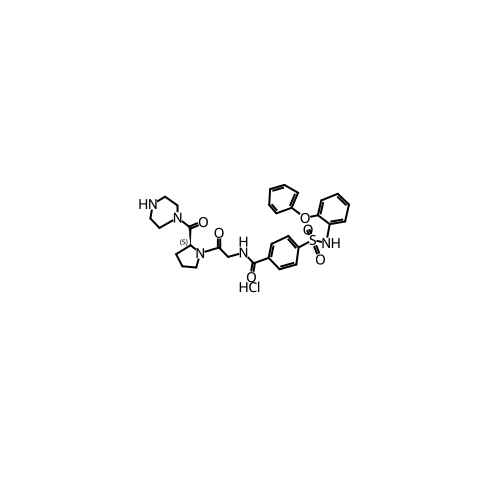 Cl.O=C(NCC(=O)N1CCC[C@H]1C(=O)N1CCNCC1)c1ccc(S(=O)(=O)Nc2ccccc2Oc2ccccc2)cc1